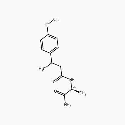 CC(CC(=O)N[C@@H](C)C(N)=O)c1ccc(OC(F)(F)F)cc1